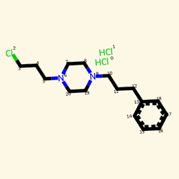 Cl.Cl.ClCCCN1CCN(CCCc2ccccc2)CC1